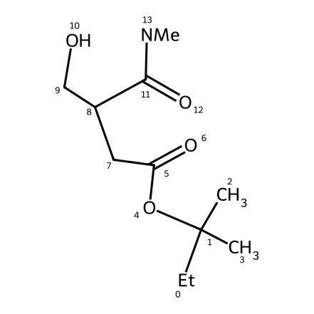 CCC(C)(C)OC(=O)CC(CO)C(=O)NC